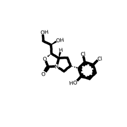 O=C1O[C@H]([C@H](O)CO)[C@@H]2C[C@H](c3c(O)ccc(Cl)c3Cl)CN12